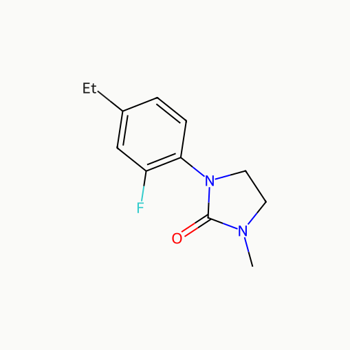 CCc1ccc(N2CCN(C)C2=O)c(F)c1